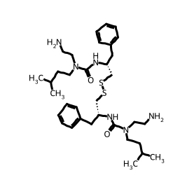 CC(C)CCN(CCN)C(=O)N[C@@H](CSSC[C@@H](Cc1ccccc1)NC(=O)N(CCN)CCC(C)C)Cc1ccccc1